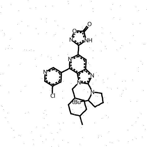 CC1CCC(Cn2c(N3CCCC3C(C)(C)C)nc3cc(-c4noc(=O)[nH]4)nc(-c4cncc(Cl)c4)c32)CC1